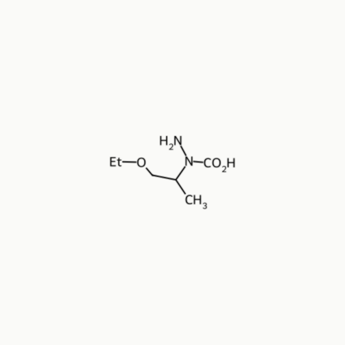 CCOCC(C)N(N)C(=O)O